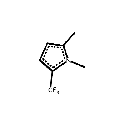 Cc1ccc(C(F)(F)F)n1C